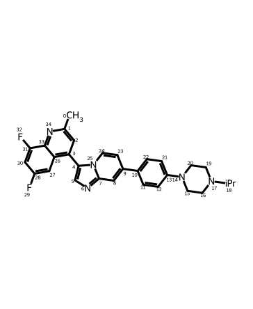 Cc1cc(-c2cnc3cc(-c4ccc(N5CCN(C(C)C)CC5)cc4)ccn23)c2cc(F)cc(F)c2n1